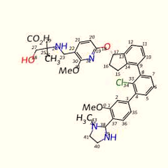 COc1cc(-c2cccc(-c3cccc4c3CC[C@@H]4Oc3ccc(CNC(C)(CO)C(=O)O)c(OC)n3)c2Cl)ccc1C1NCCN1C